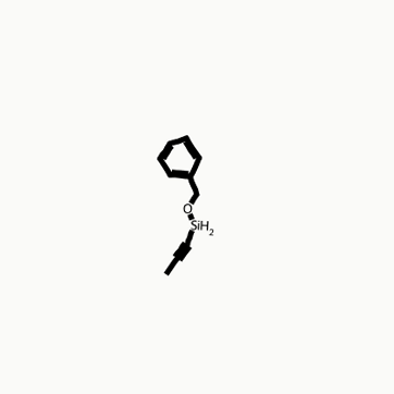 CC#C[SiH2]OCc1ccccc1